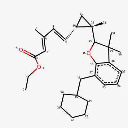 CCOC(=O)C=C(C)C=C[C@@H]1C[C@]1(C)C1Oc2c(CC3CCCCC3)cccc2C1(C)C